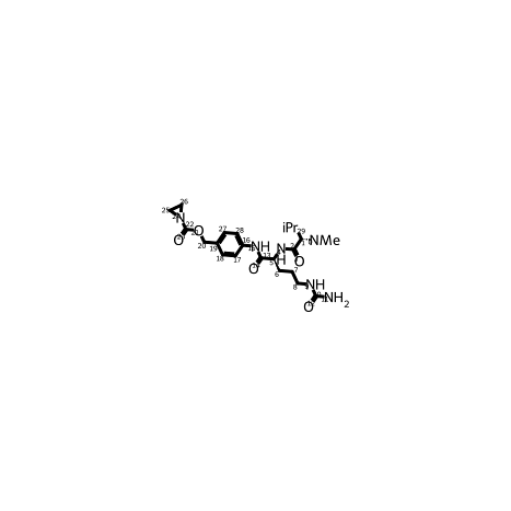 CN[C@H](C(=O)N[C@@H](CCCNC(N)=O)C(=O)Nc1ccc(COC(=O)N2CC2)cc1)C(C)C